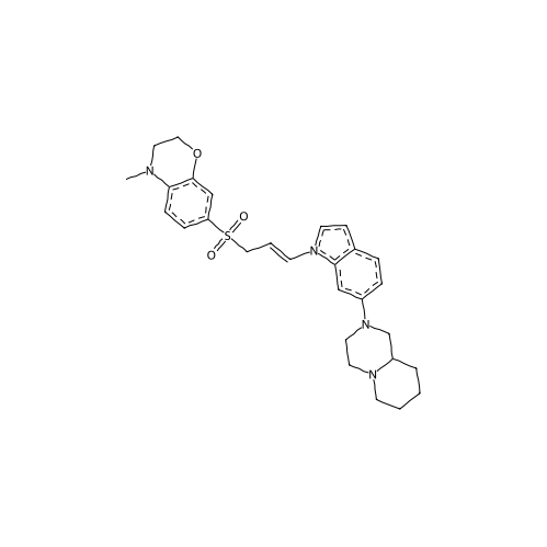 CN1CCOc2cc(S(=O)(=O)CC=Cn3ccc4ccc(N5CCN6CCCCC6C5)cc43)ccc21